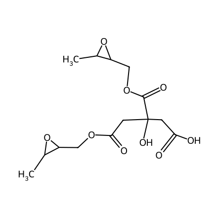 CC1OC1COC(=O)CC(O)(CC(=O)O)C(=O)OCC1OC1C